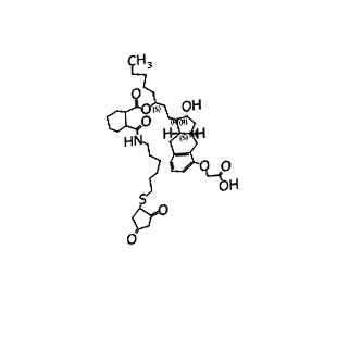 CCCCC[C@@H](CC[C@@H]1[C@H]2Cc3cccc(OCC(=O)O)c3C[C@H]2C[C@H]1O)OC(=O)C1CCCCC1C(=O)NCCCCCCSC1CC(=O)CC1=O